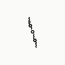 C=CCCOCc1ccc(CC[C@H]2CC[C@H](CCCCc3ccc(/C=C/CCC)cc3)CC2)cc1